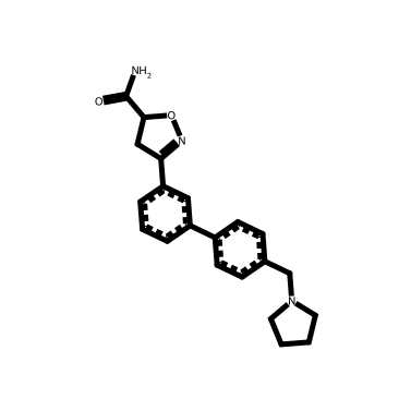 NC(=O)C1CC(c2cccc(-c3ccc(CN4CCCC4)cc3)c2)=NO1